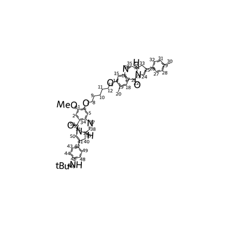 COc1cc2c(cc1OCCCCCOc1cc3c(cc1C)C(=O)N1C=C(c4ccc(C)cc4)C[C@H]1C=N3)N=C[C@@H]1CC(c3ccc(NC(C)(C)C)cc3)=CN1C2=O